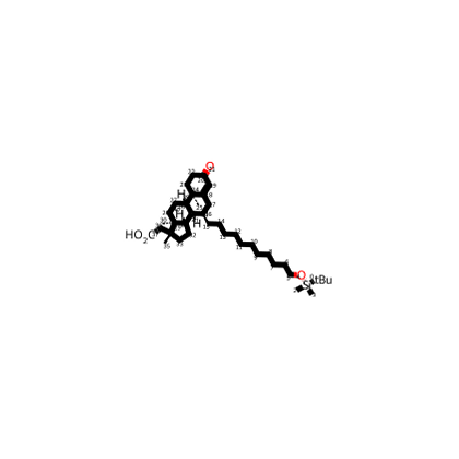 CC(C)(C)[Si](C)(C)OCCCCCCCCCCC[C@@H]1CC2=CC(=O)CC[C@]2(C)[C@H]2CC[C@@]3(C)[C@@H](CC[C@]3(C)CC(=O)O)[C@H]12